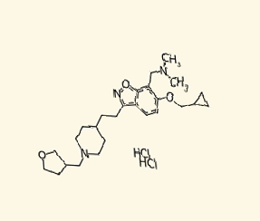 CN(C)Cc1c(OCC2CC2)ccc2c(CCC3CCN(CC4CCOC4)CC3)noc12.Cl.Cl